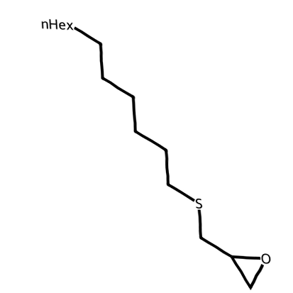 CCCCCCCCCCCCSCC1CO1